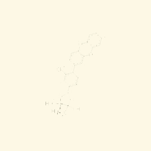 CC1(C)OB(c2ccc(-c3ccc4c(c3)Oc3ccccc3O4)c(Cl)c2)OC1(C)C